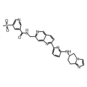 CS(=O)(=O)c1cncc(C(=O)NCc2cc3nc(-c4cccc(N[C@@H]5CCc6nccn6C5)n4)ccc3cn2)c1